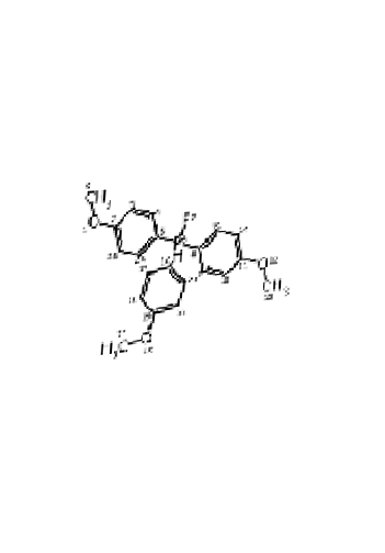 COc1ccc([PH](F)(c2ccc(OC)cc2)c2ccc(OC)cc2)cc1